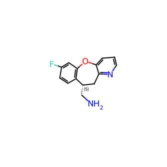 NC[C@H]1Cc2ncccc2Oc2cc(F)ccc21